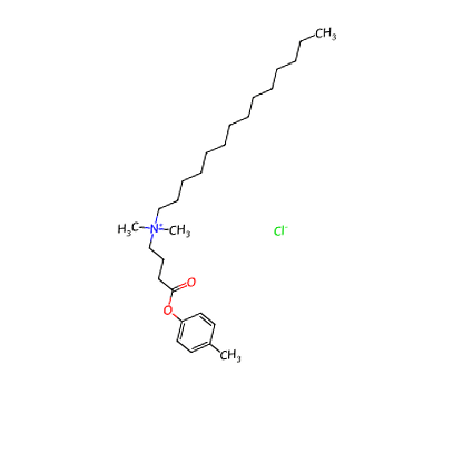 CCCCCCCCCCCCCC[N+](C)(C)CCCC(=O)Oc1ccc(C)cc1.[Cl-]